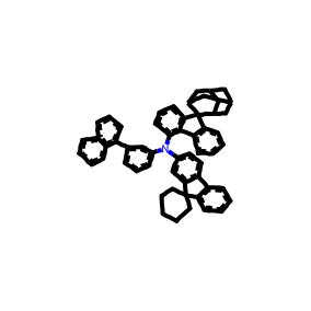 c1cc(-c2cccc3ccccc23)cc(N(c2ccc3c(c2)C2(CCCCC2)c2ccccc2-3)c2cccc3c2-c2ccccc2C32C3CC4CC(C3)CC2C4)c1